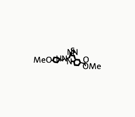 COC(=O)c1ccc2nc(NCc3ccc(OC)cc3)c3nsnc3c2c1